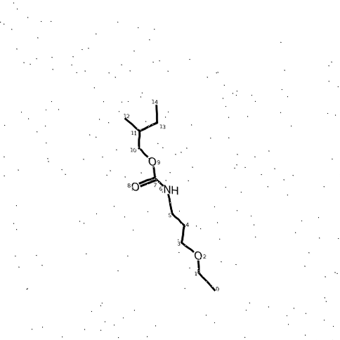 CCOCCCNC(=O)OCC(C)CC